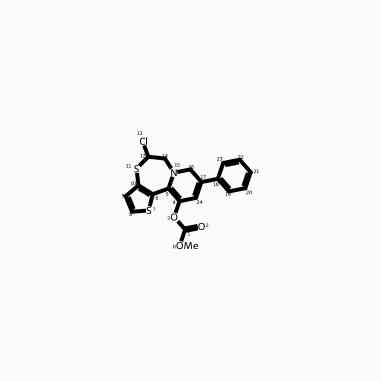 COC(=O)OC1=C2c3sccc3SC(Cl)CN2CC(c2ccccc2)=C1